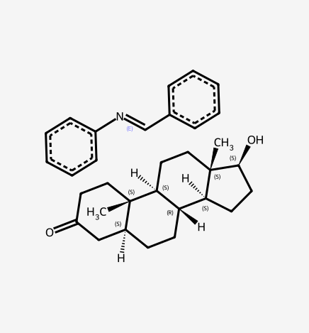 C(=N\c1ccccc1)/c1ccccc1.C[C@]12CCC(=O)C[C@@H]1CC[C@@H]1[C@@H]2CC[C@]2(C)[C@@H](O)CC[C@@H]12